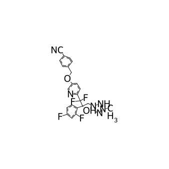 CN1N=CN(CC(O)(c2ccc(F)cc2F)C(F)(F)c2ccc(OCc3ccc(C#N)cc3)cn2)N1